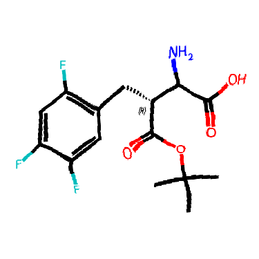 CC(C)(C)OC(=O)[C@H](Cc1cc(F)c(F)cc1F)C(N)C(=O)O